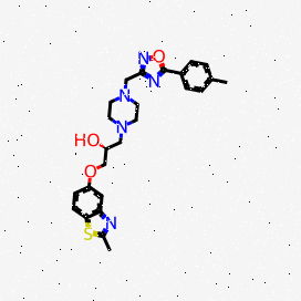 Cc1ccc(-c2nc(CN3CCN(C[C@H](O)COc4ccc5sc(C)nc5c4)CC3)no2)cc1